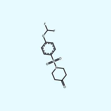 O=C1CCN(S(=O)(=O)c2ccc(OC(F)F)cc2)CC1